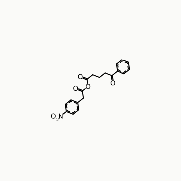 O=C(CCCC(=O)c1ccccc1)OC(=O)Cc1ccc([N+](=O)[O-])cc1